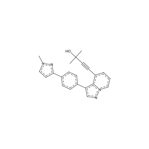 Cn1ccc(-c2ccc(-c3cnn4cccc(C#CC(C)(C)O)c34)cc2)n1